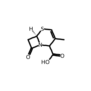 CC1=CS[C@@H]2CC(=O)N2C1C(=O)O